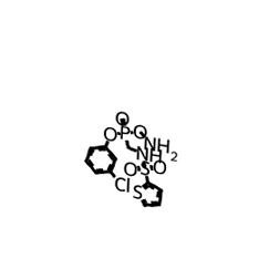 NOP(=O)(CNS(=O)(=O)c1cccs1)Oc1cccc(Cl)c1